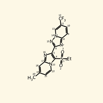 CCS(=O)(=O)c1c(-c2nc3ccc(C(F)(F)F)cn3n2)nc2cc(C)ccn12